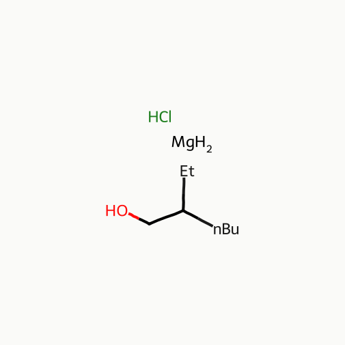 CCCCC(CC)CO.Cl.[MgH2]